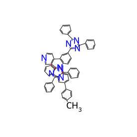 Cc1ccc(-c2ccc3c(c2)c2ccccc2n3-c2ccc(-c3nc(-c4ccccc4)nc(-c4ccccc4)n3)cc2-c2ccncc2-c2nc(-c3ccccc3)nc(-c3ccccc3)n2)cc1